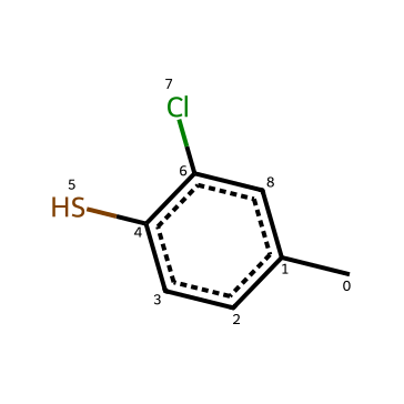 Cc1ccc(S)c(Cl)c1